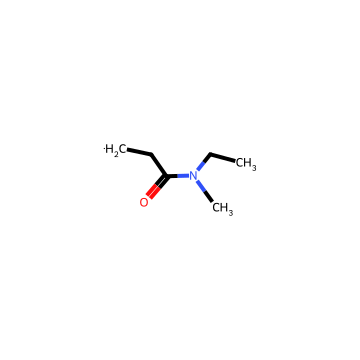 [CH2]CC(=O)N(C)CC